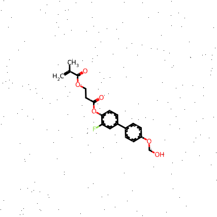 C=C(C)C(=O)OCCC(=O)Oc1ccc(-c2ccc(OCO)cc2)cc1F